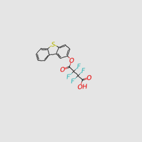 O=C(O)C(F)(F)C(F)(F)C(=O)Oc1ccc2sc3ccccc3c2c1